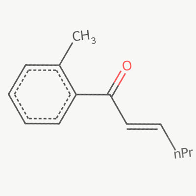 CCC/C=C/C(=O)c1ccccc1C